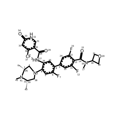 C[C@@H]1CN(c2cc(F)c(-c3cc(F)c(C(=O)N(C)C4COC4)c(F)c3)cc2NC(=O)c2c[nH]c(=O)cc2C(F)(F)F)C[C@H](C)N1C